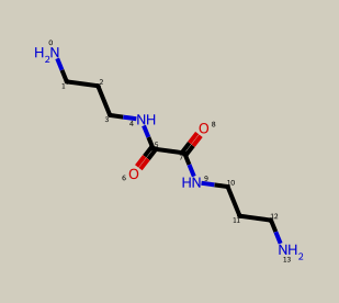 NCCCNC(=O)C(=O)NCCCN